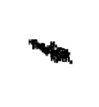 Cc1c(-c2[nH]c3sc([C@@H]4CC5C[C@H]4CN5CC(=O)NCCO)c(C)c3c2C(C)C)cn2ncnc2c1C